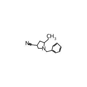 CCC1CC(C#N)CN1Cc1ccccc1